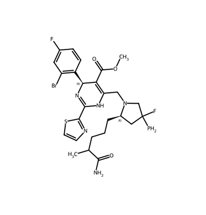 COC(=O)C1=C(CN2CC(F)(P)C[C@H]2CCCC(C)C(N)=O)NC(c2nccs2)=N[C@H]1c1ccc(F)cc1Br